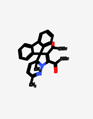 COC(=O)C1=C(C(=O)OC)C2(c3ccccc3-c3ccccc32)C2(C)C=CC(C)=NN12